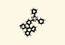 c1ccc(-c2nc(-c3ccccc3)nc(-c3cccc(-c4c(-c5cccnc5)c5ccccc5c5ccccc45)c3)n2)cc1